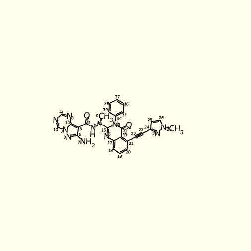 C[C@H](NC(=O)c1c(N)nn2cncnc12)c1nc2cccc(C#Cc3ccn(C)n3)c2c(=O)n1-c1ccccc1